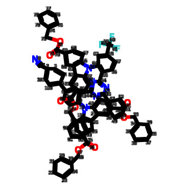 N#Cc1ccc(-c2ccc(-n3c4ccc(C(=O)OCc5ccccc5)cc4c4cc(C(=O)OCc5ccccc5)ccc43)c(-c3nc(-c4ccccc4)nc(-c4ccc(C(F)(F)F)cc4-n4c5ccc(C(=O)OCc6ccccc6)cc5c5cc(C(=O)OCc6ccccc6)ccc54)n3)c2)cc1